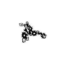 CC(C)(C)OC(=O)N1CCC(c2cccc(OCCN3CCOCC3)c2)=C(C(=O)N(Cc2cccc(Cl)c2Cl)C2CC2)C1